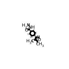 Cc1onc([C@H]2CC[C@H](C(=O)NN)CC2)c1C